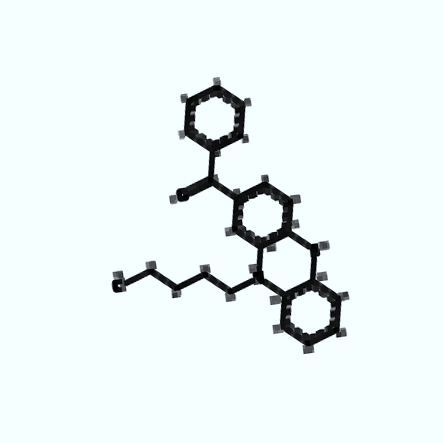 O=C(c1ccccc1)c1ccc2c(c1)N(CCCCCl)c1ccccc1S2